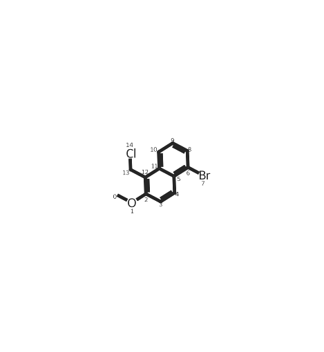 COc1ccc2c(Br)cccc2c1CCl